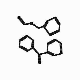 O=C(c1ccccc1)c1ccccc1.O=COCc1ccccc1